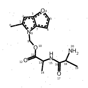 Cc1cc2occc2n1COC(=O)C(C)NC(=O)C(C)N